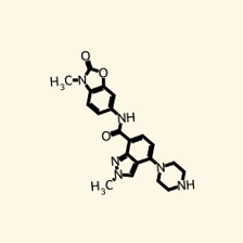 Cn1cc2c(N3CCNCC3)ccc(C(=O)Nc3ccc4c(c3)oc(=O)n4C)c2n1